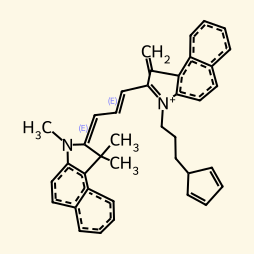 C=C1C(/C=C/C=C2/N(C)c3ccc4ccccc4c3C2(C)C)=[N+](CCCC2C=CC=C2)c2ccc3ccccc3c21